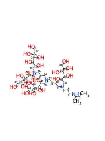 CCC(C)NCCCN(CCCCN(CCCN(CC(O)C(O)C(O)C(O)CO)CC(O)C(O)C(O)C(O)CO)CC(O)C(O)C(O)C(O)CO)CC(O)C(O)C(O)C(O)CO